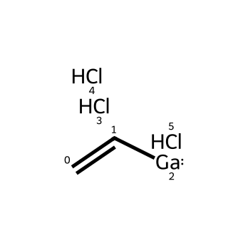 C=[CH][Ga].Cl.Cl.Cl